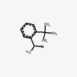 CC(Br)c1ccccc1C(C)(C)C